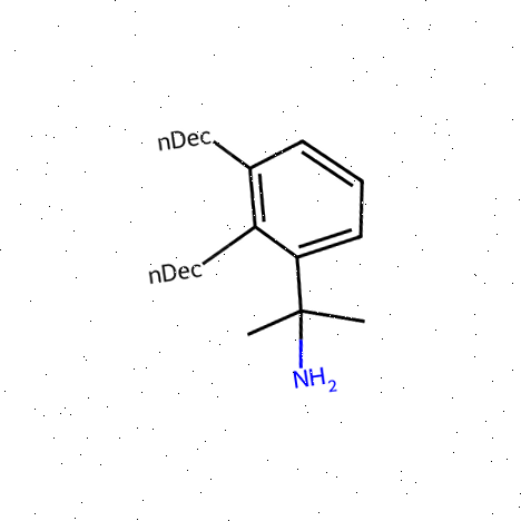 CCCCCCCCCCc1cccc(C(C)(C)N)c1CCCCCCCCCC